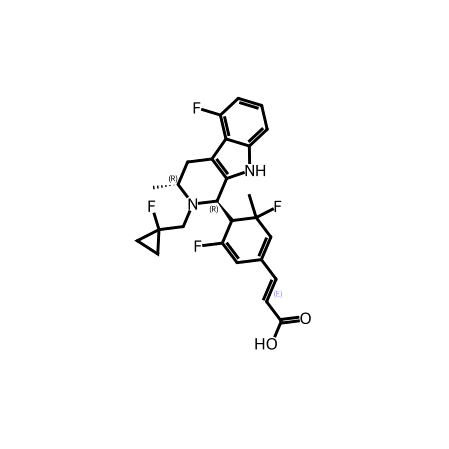 C[C@@H]1Cc2c([nH]c3cccc(F)c23)[C@@H](C2C(F)=CC(/C=C/C(=O)O)=CC2(C)F)N1CC1(F)CC1